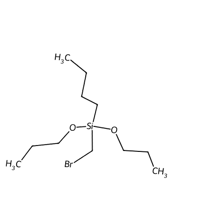 CCCC[Si](CBr)(OCCC)OCCC